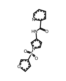 O=C(Nc1ccn(S(=O)(=O)c2ccoc2)c1)c1ccccn1